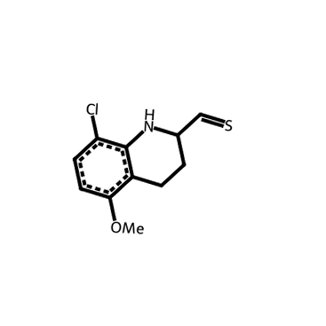 COc1ccc(Cl)c2c1CCC(C=S)N2